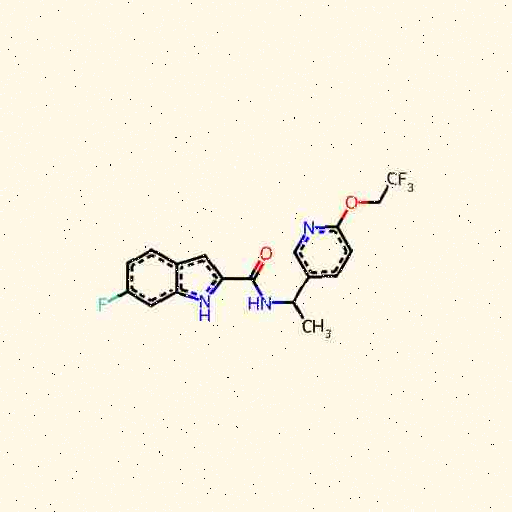 CC(NC(=O)c1cc2ccc(F)cc2[nH]1)c1ccc(OCC(F)(F)F)nc1